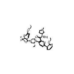 CCOc1ccc(C(=O)N2CCN(c3ccc(-c4cccnc4OCC)nc3C(=O)N[C@@H]3CCN(C)C3)[C@H](CC)C2)c(C(F)(F)F)n1